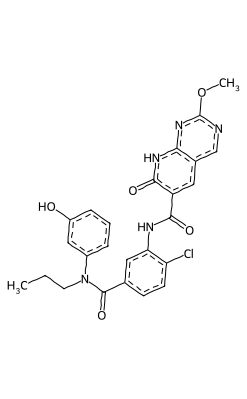 CCCN(C(=O)c1ccc(Cl)c(NC(=O)c2cc3cnc(OC)nc3[nH]c2=O)c1)c1cccc(O)c1